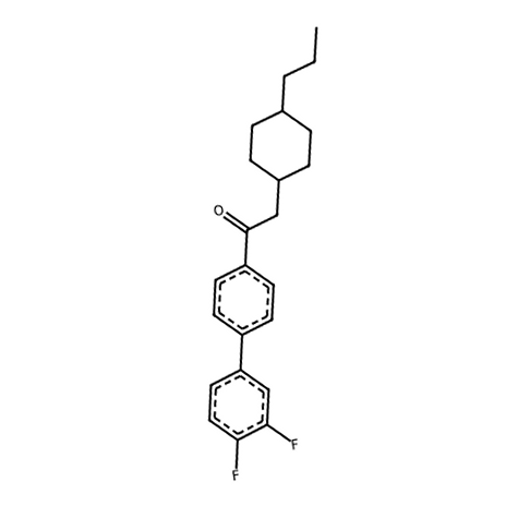 CCCC1CCC(CC(=O)c2ccc(-c3ccc(F)c(F)c3)cc2)CC1